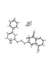 Cl.Cl.O=c1[nH]c(CCCC2CC(c3ccncc3)=CCN2)nc2c(Cl)cccc12